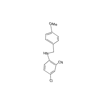 COc1ccc(CNc2ccc(Cl)cc2C#N)cc1